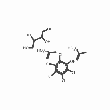 C=C(C)C(=O)O.C=C(C)C(=O)O.OCC(O)C(O)CO.Oc1c(Cl)c(Cl)c(Cl)c(Cl)c1Cl